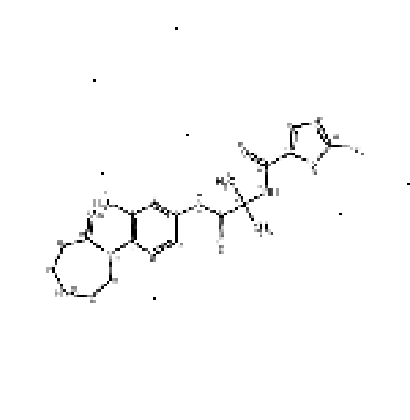 Cc1cc(NC(=O)C(C)(C)NC(=O)c2ccc(Br)s2)ccc1N1CCNCCC1=O